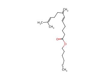 C=C(C=CCCCC(=O)OCCCCCC)CCC=C(C)C